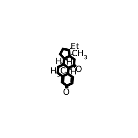 CC[C@H]1CC[C@H]2[C@@H]3CCC4=CC(=O)C=C[C@]4(C)[C@H]3C(=O)C[C@]12C